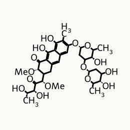 CO[C@@H]1C(=O)c2c(cc3cc(O[C@H]4CC(O[C@H]5CC(O)[C@H](O)C(C)O5)[C@H](O)C(C)O4)c(C)c(O)c3c2O)CC1[C@H](OC)C(=O)[C@@H](O)[C@@H](C)O